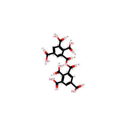 O=C(O)c1cc(C(=O)O)c(C(=O)O)c(C(=O)OC(=O)c2cc(C(=O)O)cc(C(=O)O)c2C(=O)O)c1